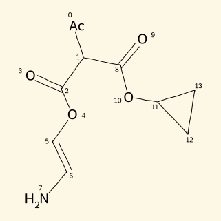 CC(=O)C(C(=O)OC=CN)C(=O)OC1CC1